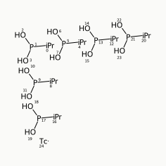 CC(C)P(O)O.CC(C)P(O)O.CC(C)P(O)O.CC(C)P(O)O.CC(C)P(O)O.CC(C)P(O)O.[Tc]